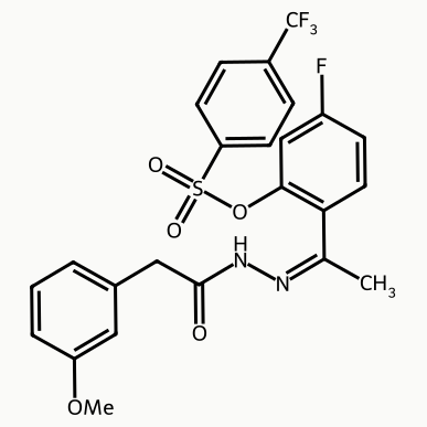 COc1cccc(CC(=O)NN=C(C)c2ccc(F)cc2OS(=O)(=O)c2ccc(C(F)(F)F)cc2)c1